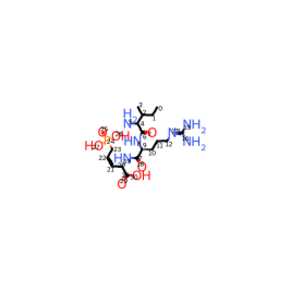 CCC(C)C(N)C(=O)N[C@@H](CCCN=C(N)N)C(=O)N[C@@H](/C=C\CP(=O)(O)O)C(=O)O